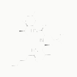 C=C(C)C(=O)C(CC(C)C)NC(=O)[C@H](CC[S+](C)[O-])NC(=O)[C@@H](NC(=O)CCCCC)C(C)C